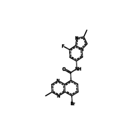 Cc1cnc2c(C(=O)Nc3cc(F)c4nc(C)cn4c3)ccc(Br)c2n1